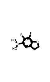 OB(O)c1cc2c(c(F)c1F)OCC2